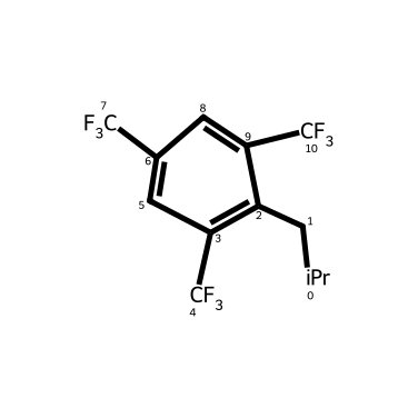 [CH2]C(C)Cc1c(C(F)(F)F)cc(C(F)(F)F)cc1C(F)(F)F